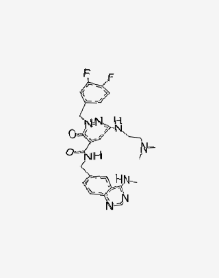 CNc1ncnc2ccc(CNC(=O)c3cc(NCCN(C)C)nn(Cc4ccc(F)c(F)c4)c3=O)cc12